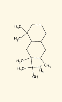 CC1CC2CCCC(C)(C)C2CC1(C)C(C)(C)O